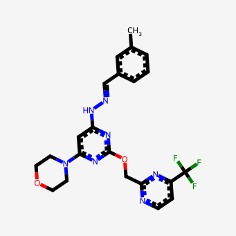 Cc1cccc(/C=N/Nc2cc(N3CCOCC3)nc(OCc3nccc(C(F)(F)F)n3)n2)c1